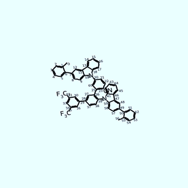 Cc1ccccc1-c1ccc2c(c1)c1ccccc1n2-c1ccc(C#N)c(-c2cc(-c3cc(C(F)(F)F)cc(C(F)(F)F)c3)ccc2-n2c3ccccc3c3cc(-c4ccccc4C)ccc32)c1